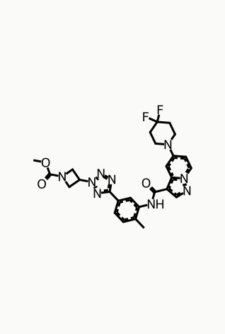 COC(=O)N1CC(n2nnc(-c3ccc(C)c(NC(=O)c4cnn5ccc(N6CCC(F)(F)CC6)cc45)c3)n2)C1